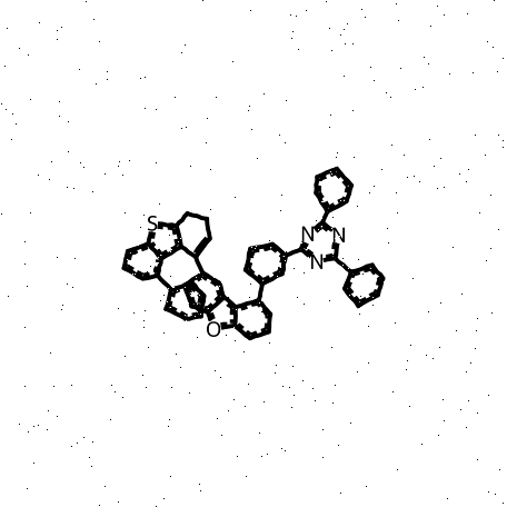 C1=C(c2ccc3oc4cccc(-c5cccc(-c6nc(-c7ccccc7)nc(-c7ccccc7)n6)c5)c4c3c2)c2c(sc3cccc(-c4ccccc4)c23)CC1